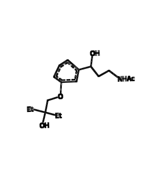 CCC(O)(CC)COc1cccc(C(O)CCNC(C)=O)c1